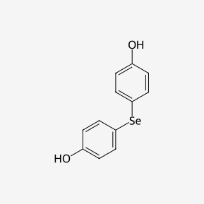 Oc1ccc([Se]c2ccc(O)cc2)cc1